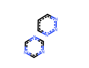 c1cnnnc1.c1ncncn1